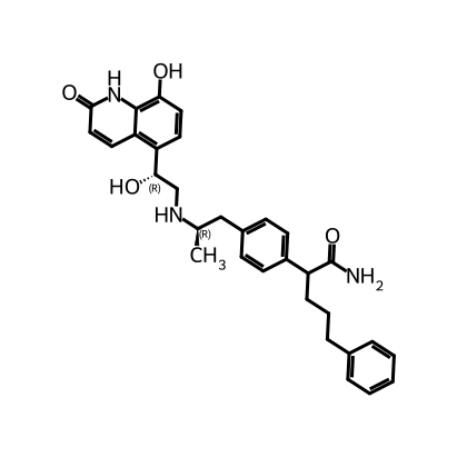 C[C@H](Cc1ccc(C(CCCc2ccccc2)C(N)=O)cc1)NC[C@H](O)c1ccc(O)c2[nH]c(=O)ccc12